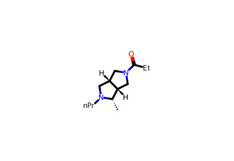 CCCN1C[C@@H]2CN(C(=O)CC)C[C@@H]2[C@@H]1C